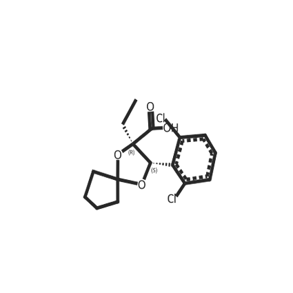 CC[C@@]1(C(=O)O)OC2(CCCC2)O[C@H]1c1c(Cl)cccc1Cl